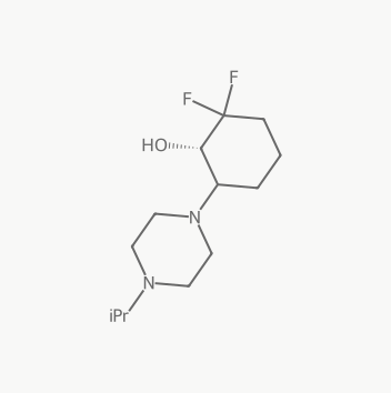 CC(C)N1CCN(C2CCCC(F)(F)[C@H]2O)CC1